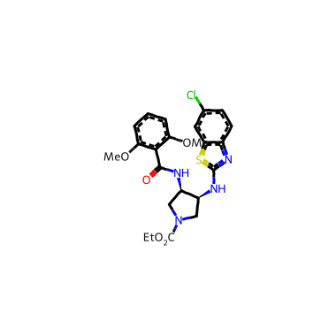 CCOC(=O)N1C[C@H](Nc2nc3ccc(Cl)cc3s2)[C@H](NC(=O)c2c(OC)cccc2OC)C1